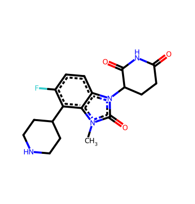 Cn1c(=O)n(C2CCC(=O)NC2=O)c2ccc(F)c(C3CCNCC3)c21